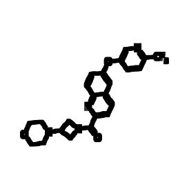 O=C(c1ccc2cc(Oc3ccc(C(F)(F)F)nc3)ccc2n1)N1CC(N2CCOCC2)C1